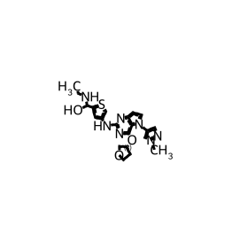 CCNC(O)c1cc(Nc2nc(O[C@@H]3CCOC3)c3c(ccn3-c3cnn(C)c3)n2)cs1